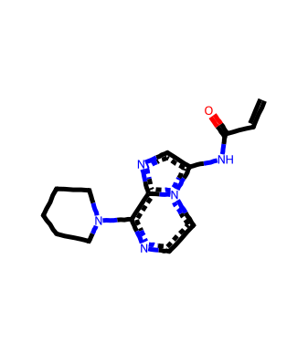 C=CC(=O)Nc1cnc2c(N3CCCCC3)nccn12